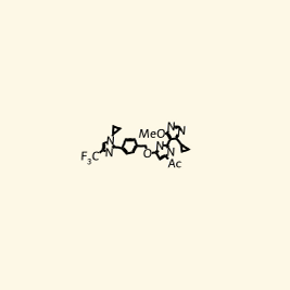 COc1ncnc(C2CC2)c1-c1nc(OCc2ccc(-c3nc(C(F)(F)F)cn3C3CC3)cc2)cc(C(C)=O)n1